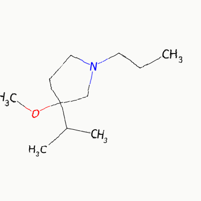 CCCN1CCC(OC)(C(C)C)C1